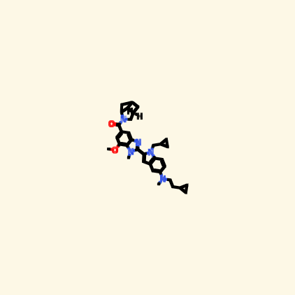 COc1cc(C(=O)N2C[C@H]3CC4CC2[C@@H]43)cc2nc(-c3cc4cc(N(C)CCC5CC5)ccc4n3CC3CC3)n(C)c12